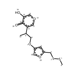 CSSCc1cc(OCC(C)c2cocc(O)c2=O)no1